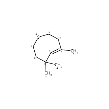 C/C1=C\C(C)(C)CCSCC1